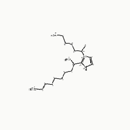 CCCCCCCCCCCCCCCCCC(CCCCCC)c1[nH]cc[n+]1C(C)CCCCCCCCCCCCCC